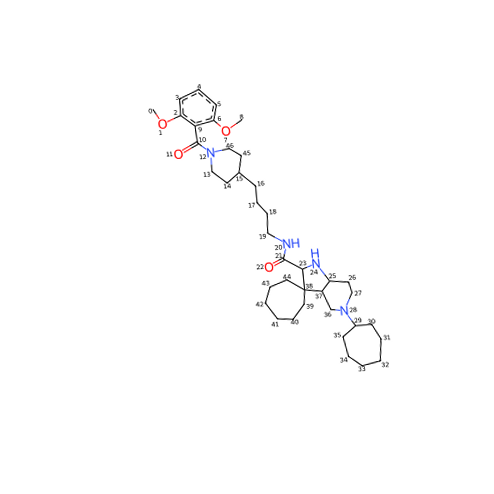 COc1cccc(OC)c1C(=O)N1CCC(CCCCNC(=O)C2NC3CCN(C4CCCCCC4)CC3C23CCCCCC3)CC1